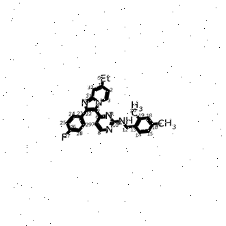 CCc1ccn2c(-c3ccnc(NCc4ccc(C)cc4C)n3)c(-c3ccc(F)cc3)nc2c1